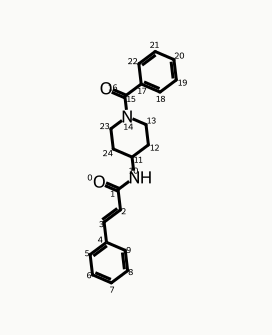 O=C(C=Cc1ccccc1)NC1CCN(C(=O)c2ccccc2)CC1